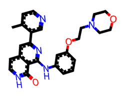 Cc1ccncc1-c1cc2cc[nH]c(=O)c2c(Nc2cccc(OCCN3CCOCC3)c2)n1